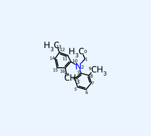 CCN(c1ccccc1C)c1cc(C)ccc1C